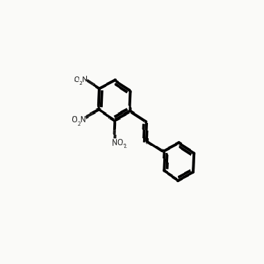 O=[N+]([O-])c1ccc(C=Cc2ccccc2)c([N+](=O)[O-])c1[N+](=O)[O-]